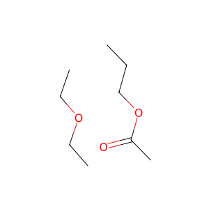 CCCOC(C)=O.CCOCC